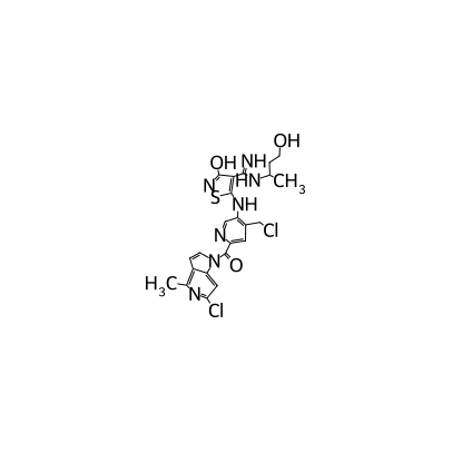 Cc1nc(Cl)cc2c1ccn2C(=O)c1cc(CCl)c(Nc2snc(O)c2C(=N)NC(C)CCO)cn1